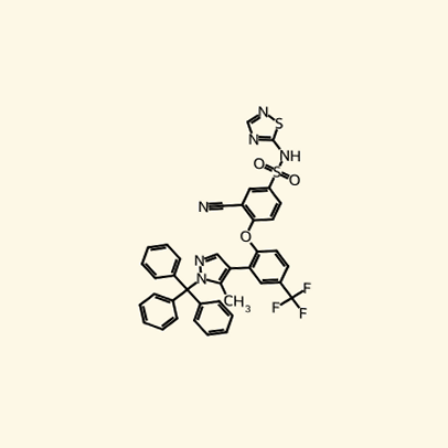 Cc1c(-c2cc(C(F)(F)F)ccc2Oc2ccc(S(=O)(=O)Nc3ncns3)cc2C#N)cnn1C(c1ccccc1)(c1ccccc1)c1ccccc1